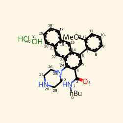 CCCCNC(=O)c1cc(-c2ccccc2OC)c2cc3ccccc3cc2c1N1CCNCC1.Cl.Cl